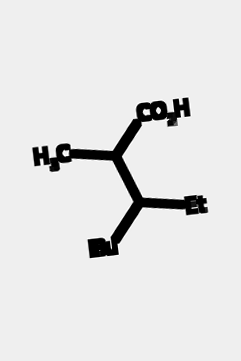 CCC(C)C(CC)C(C)C(=O)O